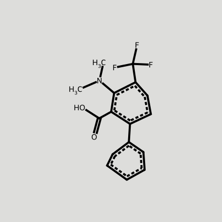 CN(C)c1c(C(F)(F)F)ccc(-c2ccccc2)c1C(=O)O